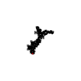 CCOCCN1CCN(c2cc(NC(=O)COC)nc(NCc3ccc(CN(CCCN(C(=O)OC(C)(C)C)C4CCCCC4)C(=O)OC(C)(C)C)cc3)n2)CC1